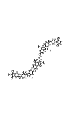 CC(C)(c1ccc(OCCCC(C)(C)N2C(=O)c3ccc(Oc4ccc(C(C)(C)c5ccc(Oc6ccc7c(c6)C(=O)NC7=O)cc5)cc4)cc3C2=O)cc1)c1ccc(Oc2ccc(N3C(=O)C=CC3=O)cc2)cc1